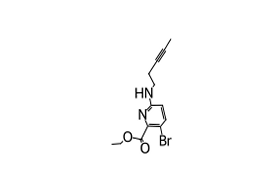 CC#CCCNc1ccc(Br)c(C(=O)OCC)n1